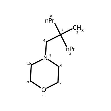 CCCC(C)(CCC)CN1CCOCC1